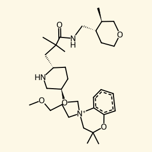 COCCC[N+]1(CO[C@@H]2CC[C@@H](CC(C)(C)C(=O)NC[C@H]3CCOC[C@@H]3C)NC2)CC(C)(C)Oc2ccccc21